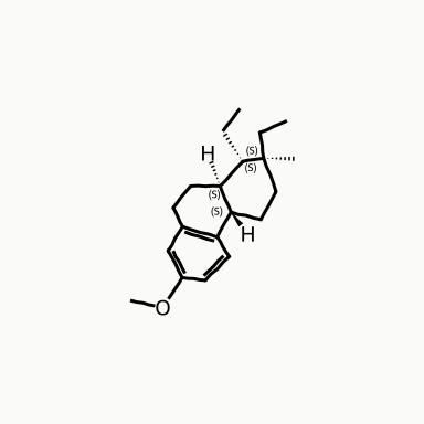 CC[C@H]1[C@@H]2CCc3cc(OC)ccc3[C@H]2CC[C@]1(C)CC